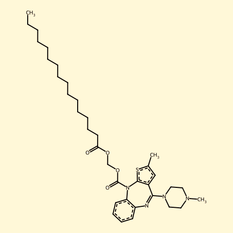 CCCCCCCCCCCCCCCC(=O)OCOC(=O)N1c2ccccc2N=C(N2CCN(C)CC2)c2cc(C)sc21